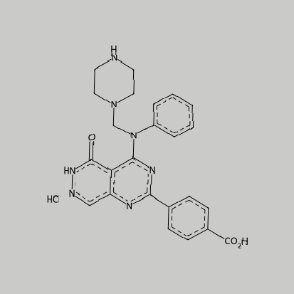 Cl.O=C(O)c1ccc(-c2nc(N(CN3CCNCC3)c3ccccc3)c3c(=O)[nH]ncc3n2)cc1